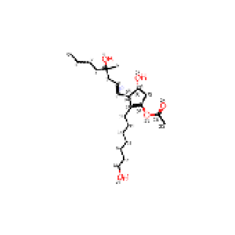 CCCCC(C)(O)C/C=C/[C@@H]1C(CCCCCCCO)=C(OC(C)=O)C[C@H]1O